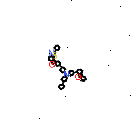 c1ccc(-c2ccc(N(c3ccc(-c4ccc5c(c4)oc4ccc6nc(-c7ccccc7)sc6c45)cc3)c3ccc(-c4cccc5c4oc4ccccc45)cc3)cc2)cc1